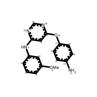 COc1cccc(Nc2cc(Oc3ccc(N)cc3)ncn2)c1